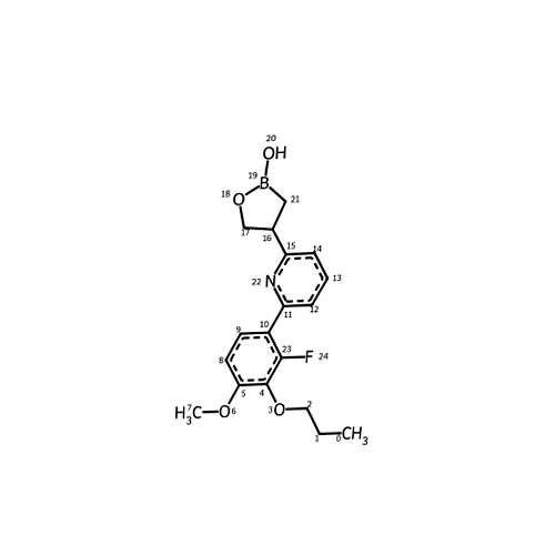 CCCOc1c(OC)ccc(-c2cccc(C3COB(O)C3)n2)c1F